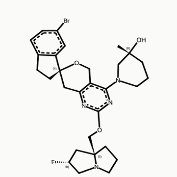 C[C@@]1(O)CCCN(c2nc(OC[C@@]34CCCN3C[C@H](F)C4)nc3c2CO[C@]2(CCc4ccc(Br)cc42)C3)C1